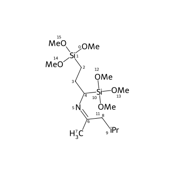 CO[Si](CCC(N=C(C)CC(C)C)[Si](OC)(OC)OC)(OC)OC